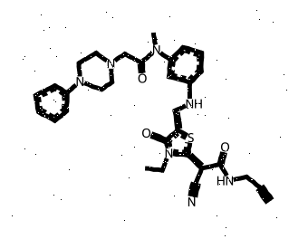 C#CCNC(=O)C(C#N)=c1sc(=CNc2cccc(N(C)C(=O)CN3CCN(c4ccccc4)CC3)c2)c(=O)n1CC